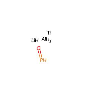 O=P.[AlH3].[LiH].[Ti]